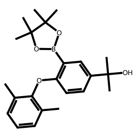 Cc1cccc(C)c1Oc1ccc(C(C)(C)O)cc1B1OC(C)(C)C(C)(C)O1